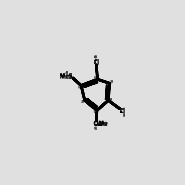 COc1cc(SC)c(Cl)cc1Cl